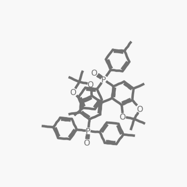 Cc1ccc(P(=O)(c2ccc(C)cc2)c2cc(-c3c(P(=O)(c4ccc(C)cc4)c4ccc(C)cc4)cc(C)c4c3OC(C)(C)O4)c3c(c2C)OC(C)(C)O3)cc1